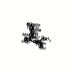 CC[C@H](C)[C@@H]([C@@H](CC(=O)N1CCC[C@H]1[C@H](OC)[C@@H](C)C(=O)N[C@@H](Cc1ccccc1)C(=O)OC)OC)N(C)C(=O)[C@@H](NC(=O)[C@H](C(C)C)N(C)CCc1ccc(N(C)C(=O)[C@H](CCCNC(N)=O)NC(=O)[C@@H](NC(=O)OC(C)(C)C)C(C)C)cc1)C(C)C.O=C(O)C(F)(F)F